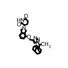 CC(n1cc(COc2cccc3c2CN(C2CCC(=O)NC2=O)C3)nn1)C12CC3CC(CC(C3)C1)C2